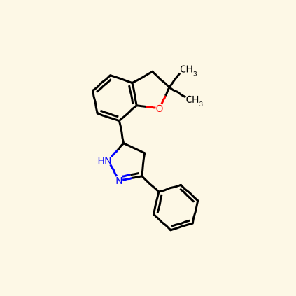 CC1(C)Cc2cccc(C3CC(c4ccccc4)=NN3)c2O1